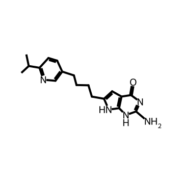 CC(C)c1ccc(CCCCc2cc3c(=O)nc(N)[nH]c3[nH]2)cn1